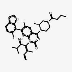 C=C/C(C)=C(\C(=N)C(C)C)n1c(=O)nc(N2CCN(C(=O)CCC)C[C@@H]2C)c2cc(F)c(-c3c(F)ccc4ccoc34)nc21